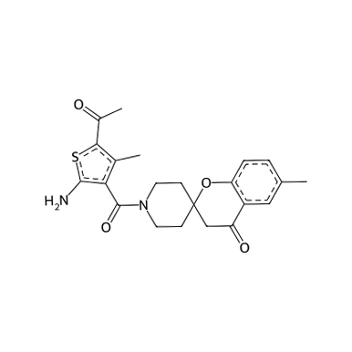 CC(=O)c1sc(N)c(C(=O)N2CCC3(CC2)CC(=O)c2cc(C)ccc2O3)c1C